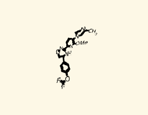 COc1nc(C2=NOCC(c3ccc(OC(F)F)cc3)N2)ccc1-n1cnc(C)c1